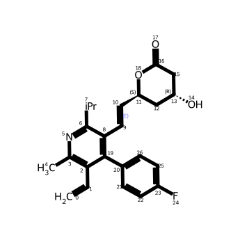 C=Cc1c(C)nc(C(C)C)c(/C=C/[C@@H]2C[C@@H](O)CC(=O)O2)c1-c1ccc(F)cc1